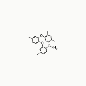 Cc1ccc(Oc2cc(C)ccc2Oc2cc(C)ccc2OP)c(C)c1